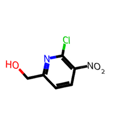 O=[N+]([O-])c1ccc(CO)nc1Cl